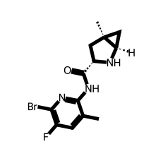 Cc1cc(F)c(Br)nc1NC(=O)[C@@H]1C[C@@]2(C)C[C@H]2N1